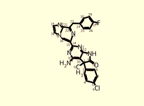 CC1(c2ccc(Cl)cc2)C(=O)Nc2nc(-c3cn4ccnc4c(Cc4ccc(F)cc4)n3)nc(N)c21